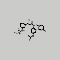 CS(=O)(=O)Nc1cccc([C@H](O)CN[C@H](Cc2ccc(F)cc2)c2ccc(OC(F)F)cc2)c1